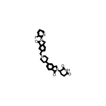 O=C1CCC(N2Cc3cc(C4CCN(Cc5ccc6c(c5)C(=O)N(c5ncccc5F)C6)CC4)ccc3C2=O)C(=O)N1